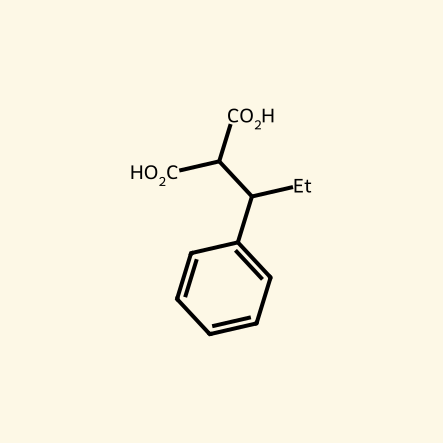 CCC(c1ccccc1)C(C(=O)O)C(=O)O